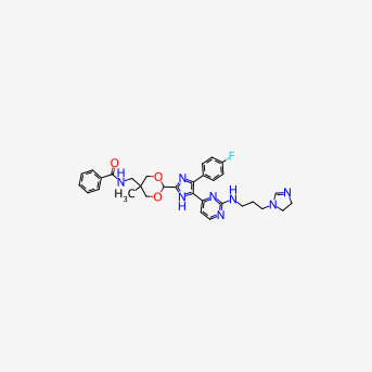 CC1(CNC(=O)c2ccccc2)COC(c2nc(-c3ccc(F)cc3)c(-c3ccnc(NCCCN4C=NCC4)n3)[nH]2)OC1